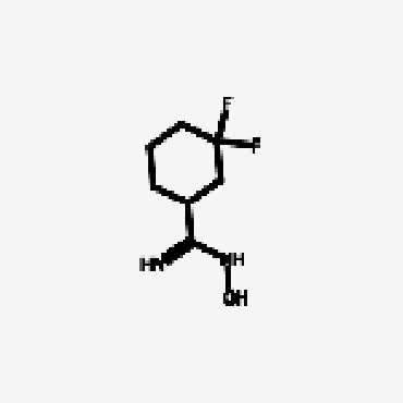 N=C(NO)C1CCCC(F)(F)C1